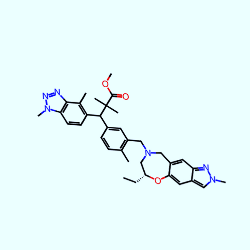 CC[C@@H]1CN(Cc2cc(C(c3ccc4c(nnn4C)c3C)C(C)(C)C(=O)OC)ccc2C)Cc2cc3nn(C)cc3cc2O1